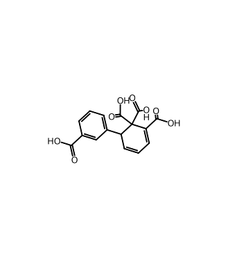 O=C(O)C1=CC=CC(c2cccc(C(=O)O)c2)C1(C(=O)O)C(=O)O